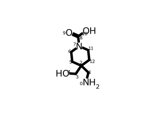 NCC1(CO)CCN(C(=O)O)CC1